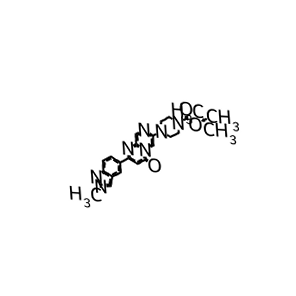 Cn1cc2cc(-c3cc(=O)n4cc(N5CCN(C(=O)OC(C)(C)C)CC5)ncc4n3)ccc2n1